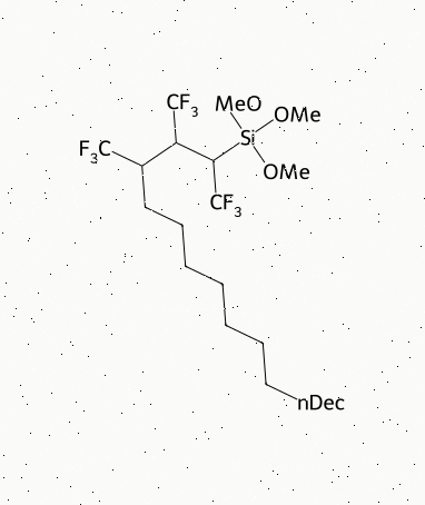 CCCCCCCCCCCCCCCCCC(C(C(C(F)(F)F)[Si](OC)(OC)OC)C(F)(F)F)C(F)(F)F